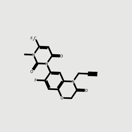 C#CCN1C(=O)COc2cc(F)c(-n3c(=O)cc(C(F)(F)F)n(C)c3=O)cc21